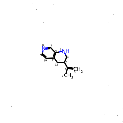 C=C(C)C1CNc2cnccc2C1